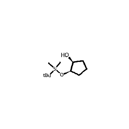 CC(C)(C)[Si](C)(C)O[C@@H]1CCC[C@@H]1O